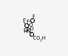 O=C(O)c1ccc(NC(=O)c2c(Oc3ccc(F)cc3F)cc(CF)cc2C(F)(F)F)cc1